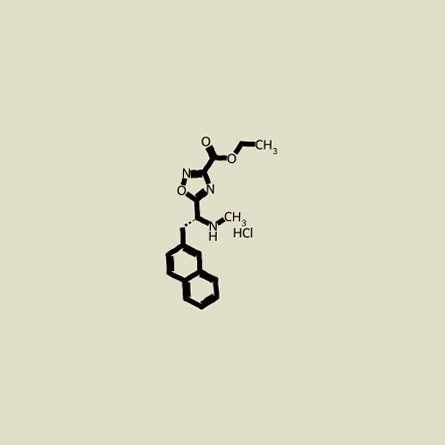 CCOC(=O)c1noc([C@@H](Cc2ccc3ccccc3c2)NC)n1.Cl